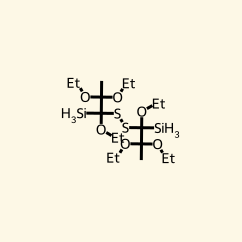 CCOC(C)(OCC)C([SiH3])(OCC)SSC([SiH3])(OCC)C(C)(OCC)OCC